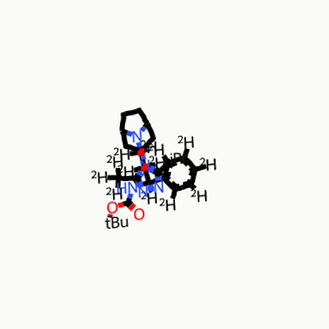 [2H]c1c([2H])c([2H])c([C@@]([2H])(NC(=O)OC(C)(C)C)C([2H])([2H])C([2H])([2H])N2C3CCC2CC(n2c(C(C)C)nnc2C([2H])([2H])[2H])C3)c([2H])c1[2H]